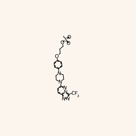 CS(=O)(=O)OCCCOc1ccc(N2CCN(c3ccc4nnc(C(F)(F)F)n4n3)CC2)cc1